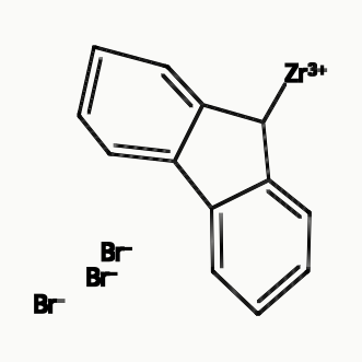 [Br-].[Br-].[Br-].[Zr+3][CH]1c2ccccc2-c2ccccc21